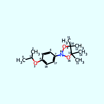 CC(C)Oc1ccc(N2OC(C)(C)C(C)(C)O2)cc1